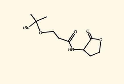 CC(C)(C)C(C)(C)OCCC(=O)NC1CCOC1=O